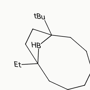 CCC12BC(C(C)(C)C)(CCCCCC1)CC2